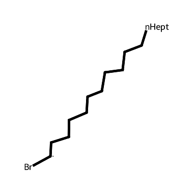 CCCCCCCCCCCCCCCCC[CH]Br